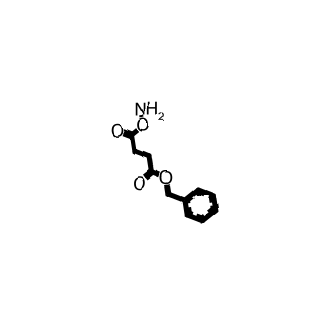 NOC(=O)CCC(=O)OCc1ccccc1